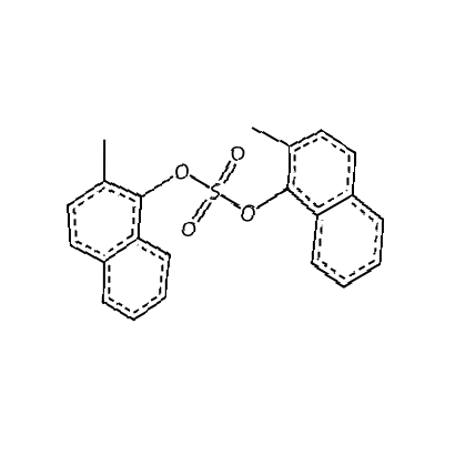 Cc1ccc2ccccc2c1OS(=O)(=O)Oc1c(C)ccc2ccccc12